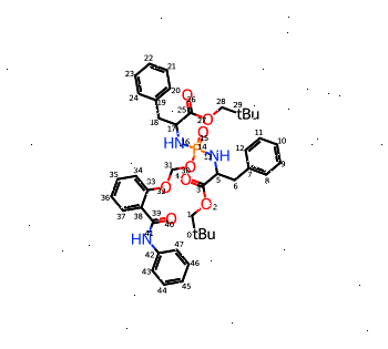 CC(C)(C)COC(=O)C(Cc1ccccc1)NP(=O)(NC(Cc1ccccc1)C(=O)OCC(C)(C)C)OCOc1ccccc1C(=O)Nc1ccccc1